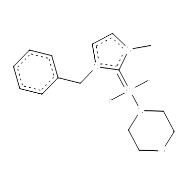 Cn1ccn(Cc2ccccc2)[c]1=[Pt]([I])([I])[N]1CCOCC1